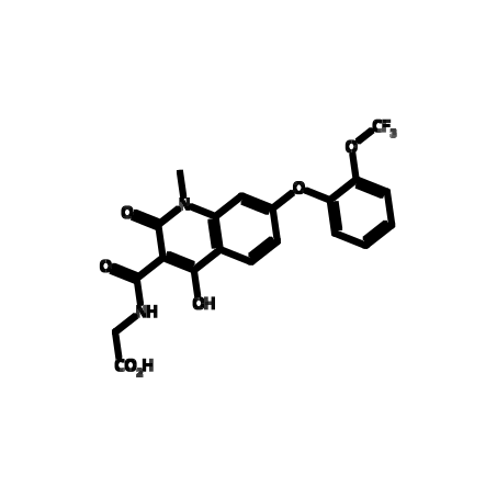 Cn1c(=O)c(C(=O)NCC(=O)O)c(O)c2ccc(Oc3ccccc3OC(F)(F)F)cc21